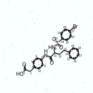 O=C(O)Cc1ccc(NC(=O)C(CCc2ccccc2)NS(=O)(=O)c2ccc(Br)cc2)cc1